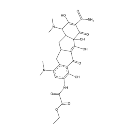 CCOC(=O)C(=O)Nc1cc(N(C)C)c2c(c1O)C(=O)C1=C(O)C3(O)C(=O)C(C(N)=O)=C(O)C(N(C)C)C3CC1C2